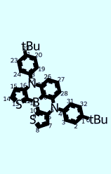 CC(C)(C)c1ccc(N2c3ccsc3B3c4sccc4N(c4ccc(C(C)(C)C)cc4)c4cccc2c43)cc1